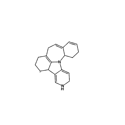 [C]1CCC2=C3C1C1=CNCC=C1N3C1CCC=CC1=CC2